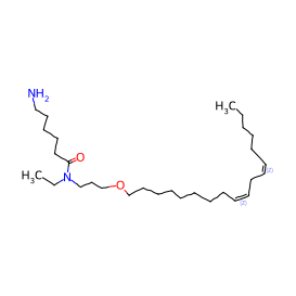 CCCCC/C=C\C/C=C\CCCCCCCCOCCCN(CC)C(=O)CCCCCN